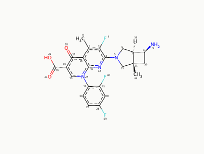 Cc1c(F)c(N2C[C@H]3[C@@H](N)C[C@]3(C)C2)nc2c1c(=O)c(C(=O)O)cn2-c1ccc(F)cc1F